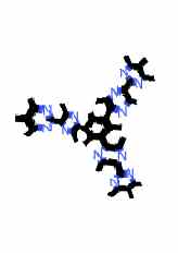 Cc1nc(-c2c(C)c(-c3nc(C)c(-c4nc(C)c(C)c(C)n4)nc3C)c(C)c(-c3nc(C)c(-c4nc(C)c(C)c(C)n4)nc3C)c2C)c(C)nc1-c1nc(C)c(C)c(C)n1